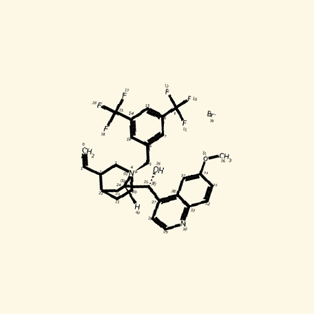 C=CC1C[N@+]2(Cc3cc(C(F)(F)F)cc(C(F)(F)F)c3)CCC1C[C@H]2[C@H](O)c1ccnc2ccc(OC)cc12.[Br-]